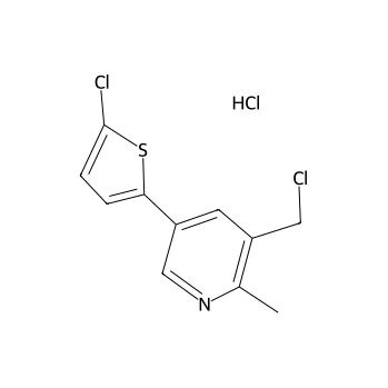 Cc1ncc(-c2ccc(Cl)s2)cc1CCl.Cl